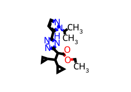 CCOC(=O)C(c1nnc(-c2ccnn2C(C)C)[nH]1)C(C1CC1)C1CC1